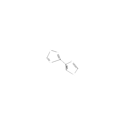 c1nc(-c2nc[nH]n2)c[nH]1